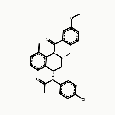 COc1cccc(C(=O)N2c3c(C)cccc3[C@@H](N(C(C)=O)c3ccc(Cl)cc3)C[C@H]2C)c1